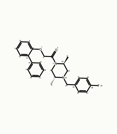 C[C@@H]1CN(C(=O)COc2ccccc2-c2ccccc2)[C@@H](C)CN1Cc1ccc(F)cc1